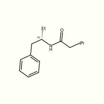 CC[C@@H](Cc1ccccc1)NC(=O)CC(C)C